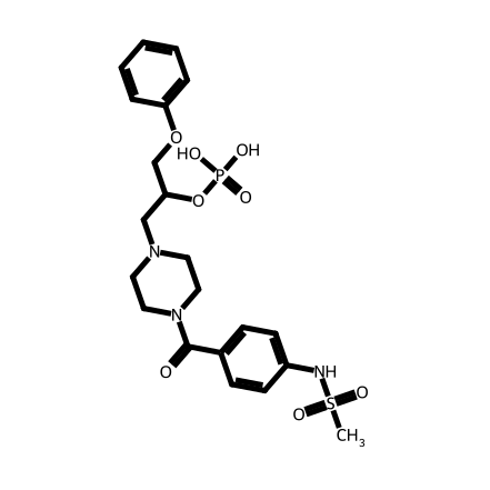 CS(=O)(=O)Nc1ccc(C(=O)N2CCN(CC(COc3ccccc3)OP(=O)(O)O)CC2)cc1